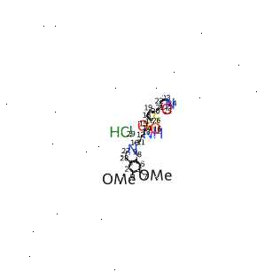 COc1cc2c(cc1OC)CN(CCCNS(=O)(=O)c1ccc(-c3ccno3)s1)CC2.Cl